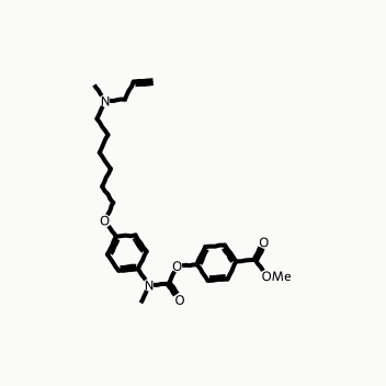 C=CCN(C)CCCCCCOc1ccc(N(C)C(=O)Oc2ccc(C(=O)OC)cc2)cc1